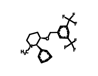 CN1CCC[C@@H](OCc2cc(C(F)(F)F)cc(C(F)(F)F)c2)[C@H]1c1ccccc1